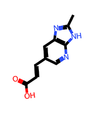 Cc1nc2cc(/C=C/C(=O)O)cnc2[nH]1